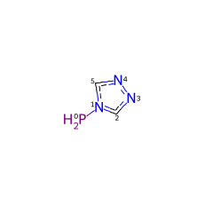 Pn1cnnc1